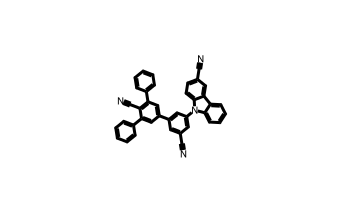 N#Cc1cc(-c2cc(-c3ccccc3)c(C#N)c(-c3ccccc3)c2)cc(-n2c3ccccc3c3cc(C#N)ccc32)c1